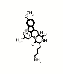 COc1ccc2c3c([nH]c2c1)[C@H](CC(C)C)N1C(=O)[C@H](CCCCN)NC(=O)[C@@H]1C3